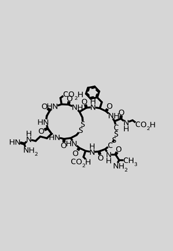 CC(N)C(=O)NC1CSSCC(C(=O)NCC(=O)O)NC(=O)C(Cc2ccccc2)NC(=O)C2CSSCC(NC(=O)C(CC(=O)O)NC1=O)C(=O)NC(CCCNC(=N)N)C(=O)NCC(=O)NC(CC(=O)O)C(=O)N2